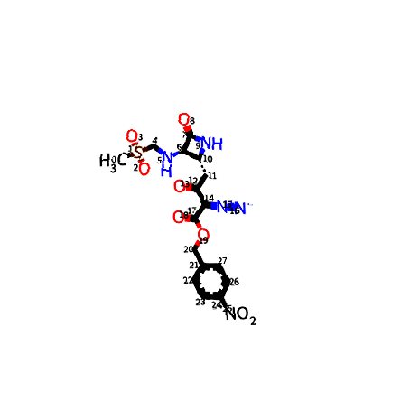 CS(=O)(=O)CN[C@H]1C(=O)N[C@@H]1CC(=O)C(=[N+]=[N-])C(=O)OCc1ccc([N+](=O)[O-])cc1